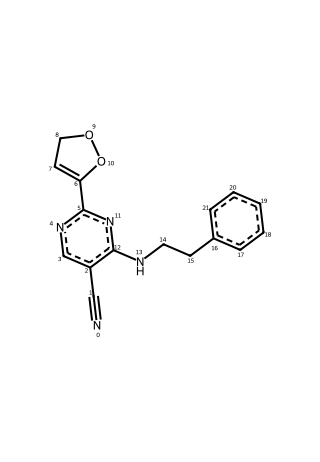 N#Cc1cnc(C2=CCOO2)nc1NCCc1ccccc1